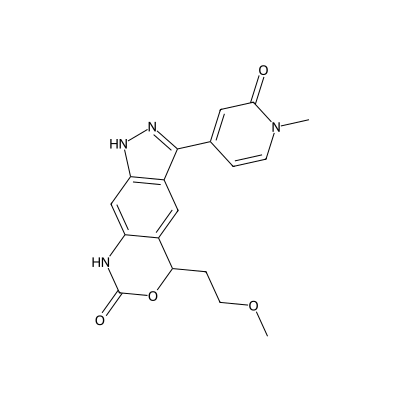 COCCC1OC(=O)Nc2cc3[nH]nc(-c4ccn(C)c(=O)c4)c3cc21